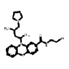 CC(C)CCNC(=O)c1ccc2c(c1)N(C(C)CC(C)CN1CCCC1)c1ccccc1S2